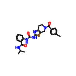 Cc1ccc(C(=O)N2CCc3nc(NC(=O)Nc4ccccc4C(=O)NC(C)C)sc3C2)cc1